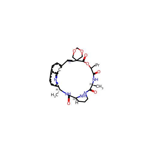 CC(C)C1OC(=O)C2(/C=C/c3ccc4ccc(nc4c3)[C@@H](C)NC(=O)[C@@H]3CCCN(N3)C(=O)[C@H](C)NC1=O)COCOC2